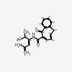 C=C(N)C=C(NC(=O)/C1=C/C=C/Cc2ccccc2C1=O)C(C)C(C)C